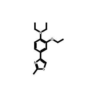 CCOc1cc(-c2csc(C)n2)ccc1N(CC)CC